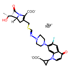 C[C@@H](O)[C@@H]1C(=O)N2C(C(=O)[O-])=C(CSC=NN3CCN(c4cc5c(cc4F)c(=O)ccn5C4CC4C(=O)[O-])CC3)C[C@H]12.[Na+].[Na+]